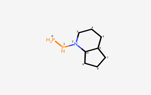 PPN1CCCC2CCCC21